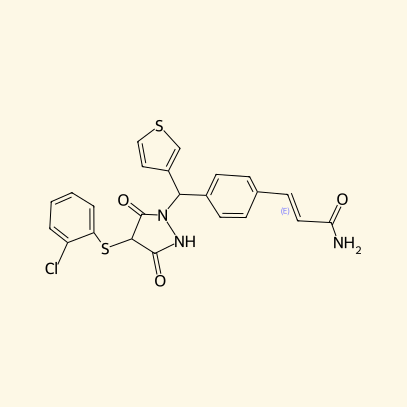 NC(=O)/C=C/c1ccc(C(c2ccsc2)N2NC(=O)C(Sc3ccccc3Cl)C2=O)cc1